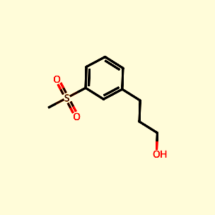 CS(=O)(=O)c1cccc(CCCO)c1